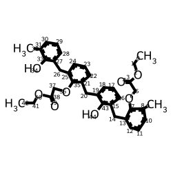 CCOC(=O)COc1c(C)cccc1Cc1cccc(Cc2cccc(Cc3cccc(C)c3O)c2OCC(=O)OCC)c1O